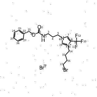 O=C(NCCCn1cc(C(F)(F)F)[n+](CCCCBr)c1)OCc1ccccc1.[Br-]